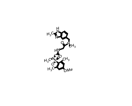 COc1cc(C)c(S(=O)(=O)N(C)CC(=O)NCC(=O)N(C)Cc2ccc3[nH]c(C)nc3c2)c(C)c1